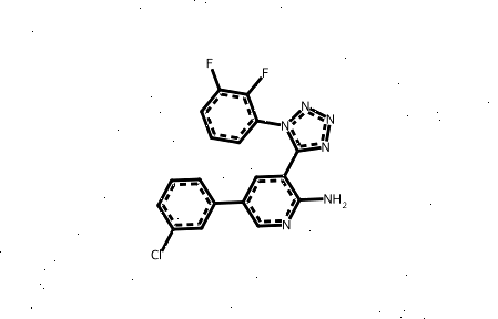 Nc1ncc(-c2cccc(Cl)c2)cc1-c1nnnn1-c1cccc(F)c1F